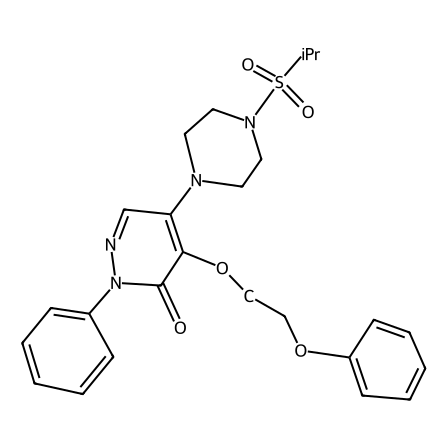 CC(C)S(=O)(=O)N1CCN(c2cnn(-c3ccccc3)c(=O)c2OCCOc2ccccc2)CC1